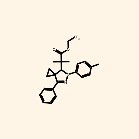 Cc1ccc(N2N=C(c3ccccc3)C3(CC3)C2C(C)(C)C(=O)OCC(F)(F)F)cc1